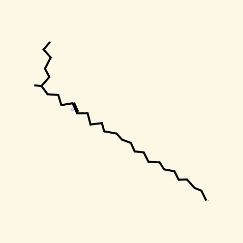 [CH2]CCCCCCCCCCCCCCCCC/C=C/CCCC(C)CCCC[CH2]